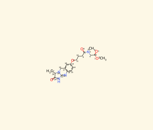 COC(=O)CN(C)C(=O)CCCOc1ccc2c(c1)CN1C(=N2)NC(=O)C1C